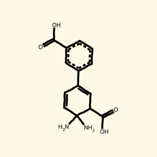 NC1(N)C=CC(c2cccc(C(=O)O)c2)=CC1C(=O)O